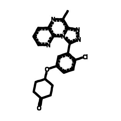 Cc1nc2cccnc2n2c(-c3cc(OC4CCC(=O)CC4)ccc3Cl)nnc12